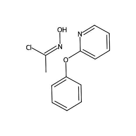 CC(Cl)=NO.c1ccc(Oc2ccccn2)cc1